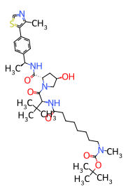 Cc1ncsc1-c1ccc([C@H](C)NC(=O)[C@@H]2C[C@@H](O)CN2C(=O)[C@@H](NC(=O)CCCCCCCN(C)C(=O)OC(C)(C)C)C(C)(C)C)cc1